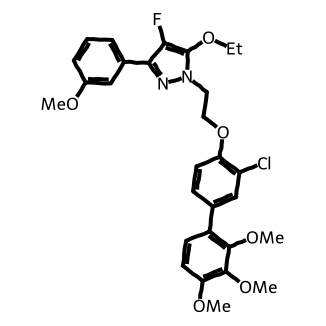 CCOc1c(F)c(-c2cccc(OC)c2)nn1CCOc1ccc(-c2ccc(OC)c(OC)c2OC)cc1Cl